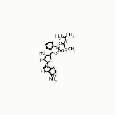 CC(C)OC(=O)[C@H](C)NP(OCC1OC(N2CNc3c(N)ncnc32)C(F)C1O)Oc1ccccc1